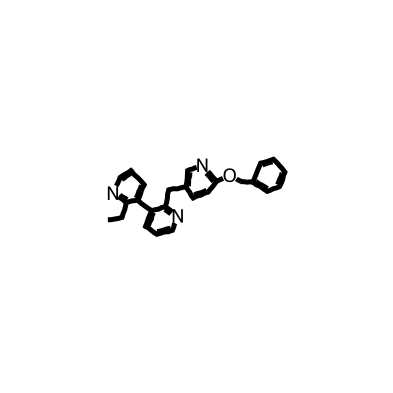 CCc1ncccc1-c1cccnc1Cc1ccc(OCc2ccccc2)nc1